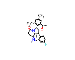 C[C@@H](O[C@H]1CN2C(=O)CCC(N(C)C)[C@H]2[C@@H]1c1ccc(F)cc1)c1cc(C(F)(F)F)cc(C(F)(F)F)c1